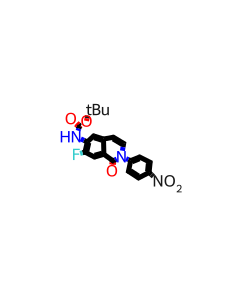 CC(C)(C)OC(=O)Nc1cc2ccn(-c3ccc([N+](=O)[O-])cc3)c(=O)c2cc1F